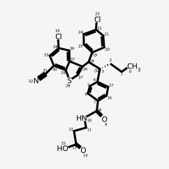 CCC[C@H](c1ccc(C(=O)NCCC(=O)O)cc1)C(c1ccc(Cl)cc1)c1csc2c(C#N)cc(Cl)cc12